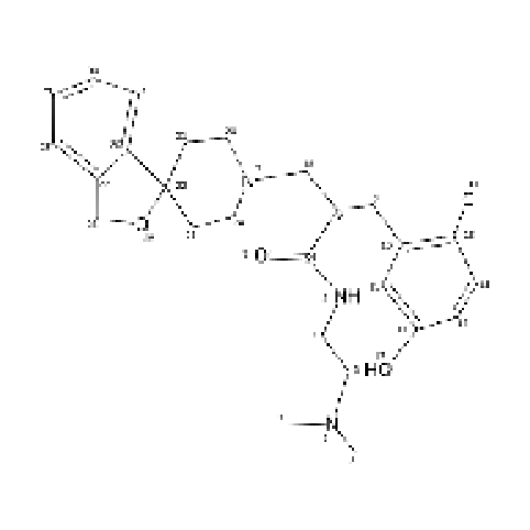 CN(C)CCNC(=O)C(Cc1cc(O)ccc1Cl)CN1CCC2(CC1)OCc1ccccc12